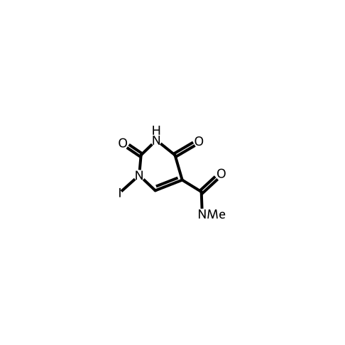 CNC(=O)c1cn(I)c(=O)[nH]c1=O